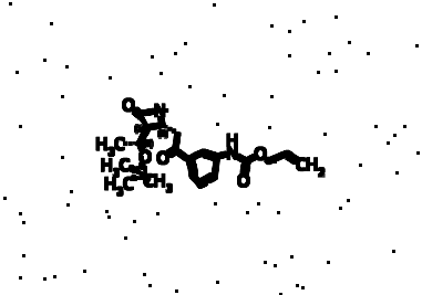 C=CCOC(=O)Nc1cccc(C(=O)C[C@H]2[N]C(=O)[C@@H]2[C@@H](C)O[Si](C)(C)C)c1